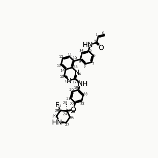 C=CC(=O)Nc1cccc(-c2cccc3cnc(Nc4ccc(O[C@@]5(C)CCNC[C@H]5F)cc4)nc23)c1